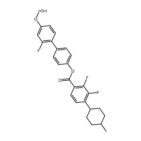 CCCCCCCCOc1ccc(-c2ccc(OC(=O)c3ccc(C4CCC(C)CC4)c(F)c3F)cc2)c(F)c1